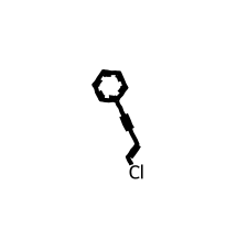 ClC=CC#Cc1ccccc1